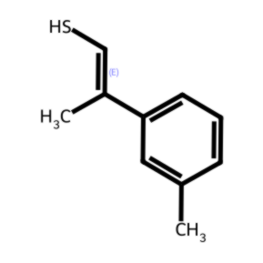 C/C(=C\S)c1cccc(C)c1